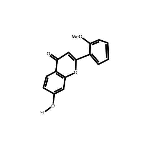 CCOc1ccc2c(=O)cc(-c3ccccc3OC)oc2c1